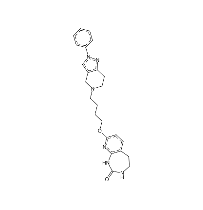 O=C1NCCc2ccc(OCCCCN3CCc4nn(-c5ccccc5)cc4C3)nc2N1